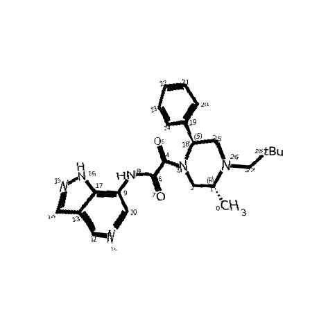 C[C@@H]1CN(C(=O)C(=O)Nc2cncc3cn[nH]c23)[C@@H](c2ccccc2)CN1CC(C)(C)C